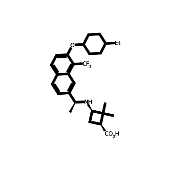 CCC1CCC(Oc2ccc3ccc([C@H](C)N[C@@H]4C[C@H](C(=O)O)C4(C)C)cc3c2C(F)(F)F)CC1